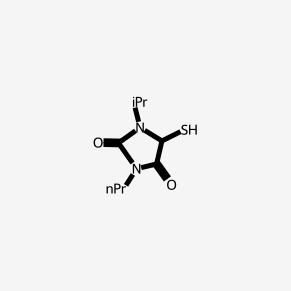 CCCN1C(=O)C(S)N(C(C)C)C1=O